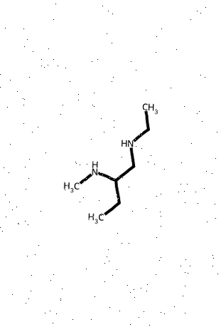 CCNCC(CC)NC